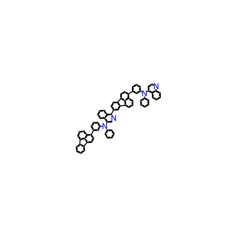 c1ccc(N(c2cccc(-c3ccc4c5c(cccc35)-c3cc(-c5ncc(N(c6ccccc6)c6cccc(-c7ccc8c9c(cccc79)-c7ccccc7-8)c6)c6ccccc56)ccc3-4)c2)c2ccnc3ccccc23)cc1